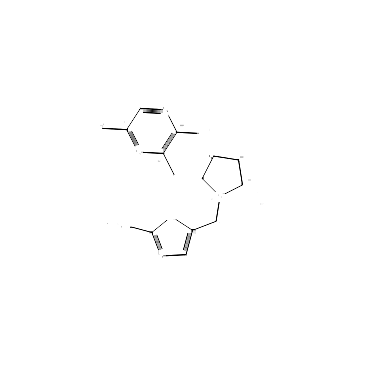 CC(=O)Nc1ncc(CN2C[C@H](Oc3ncc(C)nc3C)C[C@@H]2C)s1